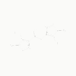 Cn1c([N+](=O)[O-])cnc1CC(S)c1ncc([N+](=O)[O-])n1C